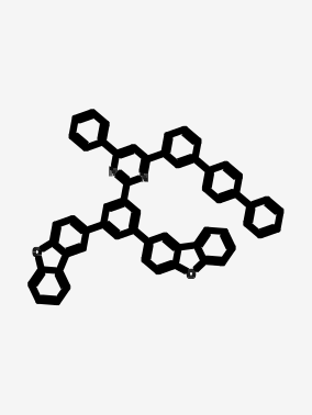 c1ccc(-c2ccc(-c3cccc(-c4cc(-c5ccccc5)nc(-c5cc(-c6ccc7oc8ccccc8c7c6)cc(-c6ccc7oc8ccccc8c7c6)c5)n4)c3)cc2)cc1